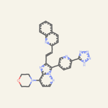 C(=Cc1nc2c(N3CCOCC3)ccnn2c1-c1ccc(-c2nnn[nH]2)nc1)c1ccc2ccccc2n1